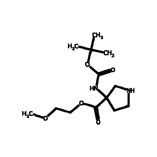 COCCOC(=O)C1(NC(=O)OC(C)(C)C)CCNC1